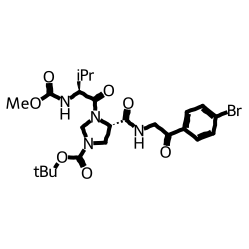 COC(=O)N[C@H](C(=O)N1CN(C(=O)OC(C)(C)C)C[C@H]1C(=O)NCC(=O)c1ccc(Br)cc1)C(C)C